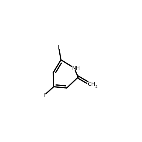 C=C1C=C(I)C=C(I)N1